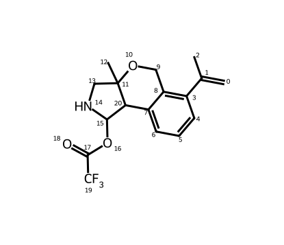 C=C(C)c1cccc2c1COC1(C)CNC(OC(=O)C(F)(F)F)C21